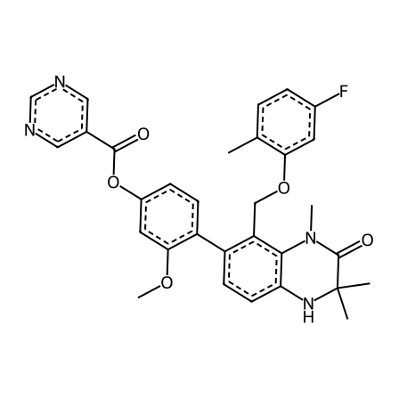 COc1cc(OC(=O)c2cncnc2)ccc1-c1ccc2c(c1COc1cc(F)ccc1C)N(C)C(=O)C(C)(C)N2